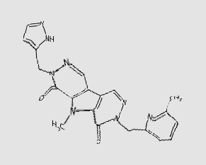 Cc1cccc(Cn2ncc3c4cnn(Cc5ccn[nH]5)c(=O)c4n(C)c3c2=O)n1